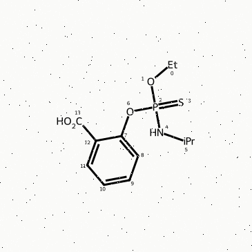 CCOP(=S)(NC(C)C)Oc1ccccc1C(=O)O